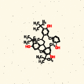 Cc1cc(O)c(C(C)(C)C)cc1C(C)CC(c1cc(C(C)(C)C)c(O)cc1C)c1cc(C(C)(C)C)c(O)cc1C.Oc1ccccc1